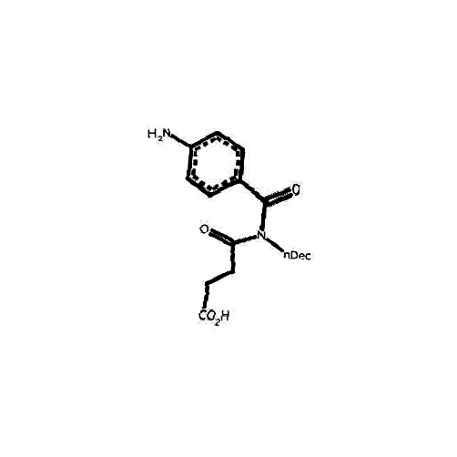 CCCCCCCCCCN(C(=O)CCC(=O)O)C(=O)c1ccc(N)cc1